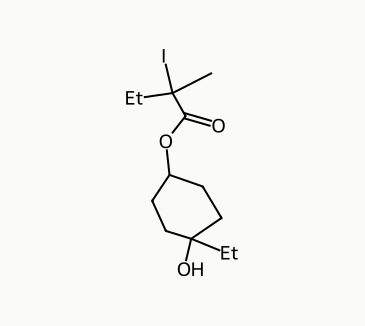 CCC1(O)CCC(OC(=O)C(C)(I)CC)CC1